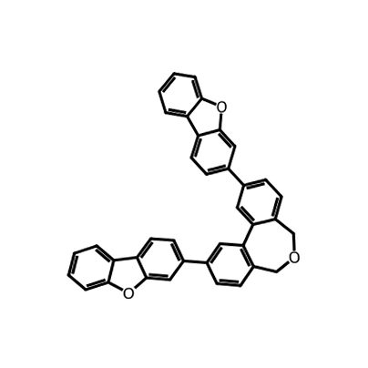 c1ccc2c(c1)oc1cc(-c3ccc4c(c3)-c3cc(-c5ccc6c(c5)oc5ccccc56)ccc3COC4)ccc12